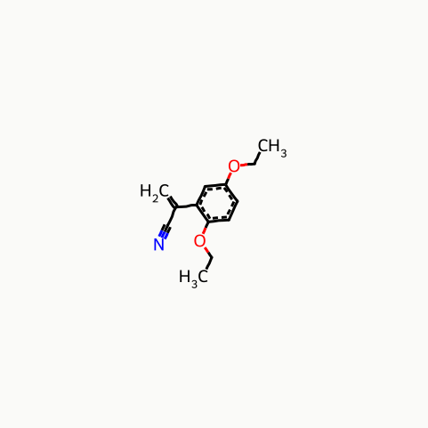 C=C(C#N)c1cc(OCC)ccc1OCC